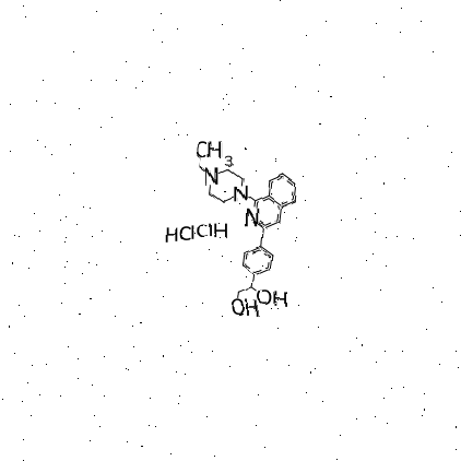 CCN1CCN(c2nc(-c3ccc(C(O)CO)cc3)cc3ccccc23)CC1.Cl.Cl